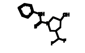 OC1CC(C(F)F)CN(C(=S)Nc2ccccc2)C1